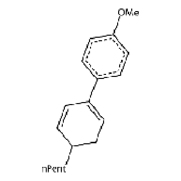 CCCCCC1C=CC(c2ccc(OC)cc2)=CC1